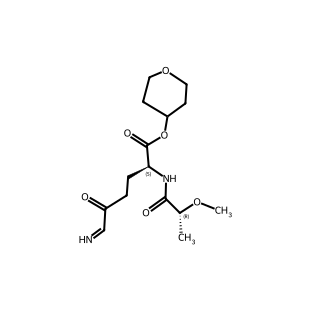 CO[C@H](C)C(=O)N[C@@H](CCC(=O)C=N)C(=O)OC1CCOCC1